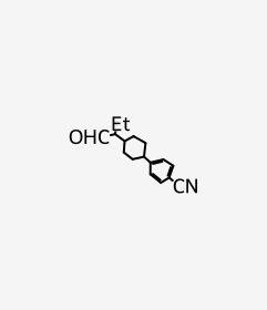 CCC(C=O)C1CCC(c2ccc(C#N)cc2)CC1